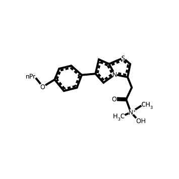 CCCOc1ccc(-c2cc3scc(CC(=O)[N+](C)(C)O)n3c2)cc1